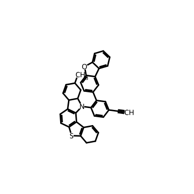 C#Cc1ccc(N2c3c(ccc4sc5c(c34)C=CCC5)C3C=CC(C)CC32)c(-c2ccc3oc4ccccc4c3c2)c1